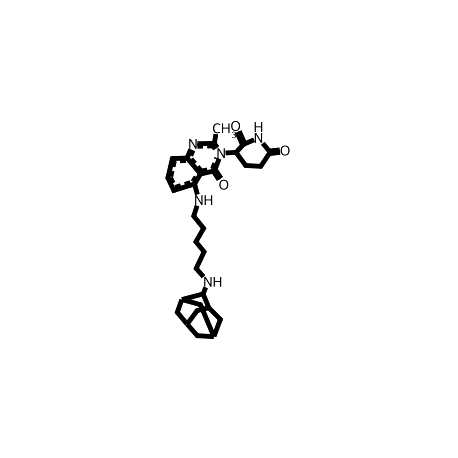 Cc1nc2cccc(NCCCCCNC3C4CC5CC(C4)CC3C5)c2c(=O)n1C1CCC(=O)NC1=O